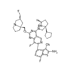 N#Cc1c(N)sc2c(F)ccc(-c3ncc4c(N5C[C@@H]6CC[C@](C7CCCC7)(C5)N6)nc(OC[C@@]56CCCN5C/C(=C\F)C6)nc4c3F)c12